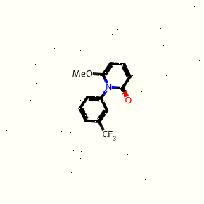 COc1cccc(=O)n1-c1cccc(C(F)(F)F)c1